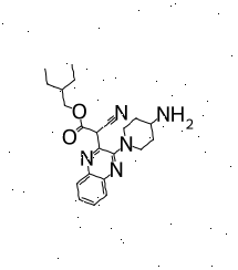 CCC(CC)COC(=O)C(C#N)c1nc2ccccc2nc1N1CCC(N)CC1